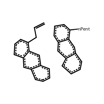 C=CCc1cccc2cc3ccccc3cc12.CCCCCc1cccc2cc3ccccc3cc12